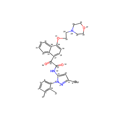 Cc1cccc(-n2nc(C(C)(C)C)cc2NC(=O)C(=O)c2ccc(OCCN3CCOCC3)c3ccccc23)c1C